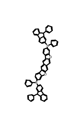 c1ccc(C2c3ccccc3-c3ccc(N(c4ccccc4)c4ccc5c(c4)oc4cc6cc7oc8cc(N(c9ccccc9)c9ccc%10c(c9)C(c9ccccc9)c9ccccc9-%10)ccc8c7cc6cc45)cc32)cc1